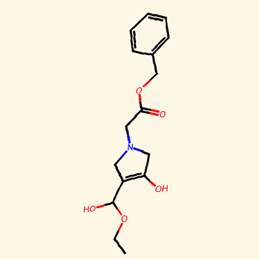 CCOC(O)C1=C(O)CN(CC(=O)OCc2ccccc2)C1